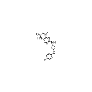 C[C@H]1C(=O)Nc2cnc(N[C@H]3C[C@@H](Oc4ccc(F)cc4)C3)nc2N1C